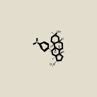 CN(C)c1ccc([C@H]2C[C@]3(C)[C@@H]([N+](=O)[O-])CC[C@H]3[C@@H]3CC[C@H]4C[C@](C)(O)CC[C@@H]4[C@H]32)cc1